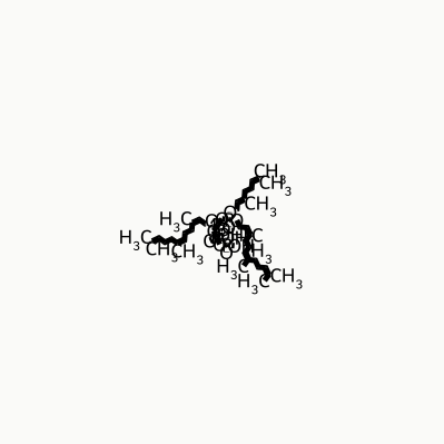 CC(C)=CCCC(C)=CCCC(C)=CCOP(=O)(OC/C=C(\C)CCC=C(C)C)OP(=O)(OCC=C(C)CCC=C(C)CCC=C(C)C)OP(=O)(O)OP(=O)(O)O